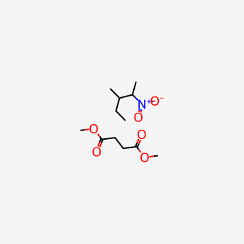 CCC(C)C(C)[N+](=O)[O-].COC(=O)CCC(=O)OC